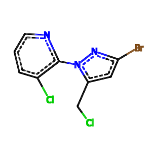 ClCc1cc(Br)nn1-c1ncccc1Cl